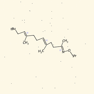 C/C(=C\CC(C)(C)C)CC/C=C(\C)CC/C(C)=N/OC(C)C